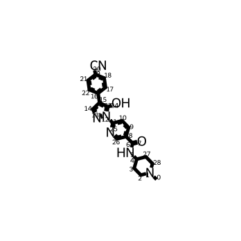 CN1CCC(NC(=O)c2ccc(-n3ncc(-c4ccc(C#N)cc4)c3O)nc2)CC1